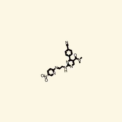 CN(C)C(=O)c1cnc(NCC=Nc2ccc([N+](=O)[O-])cn2)nc1-c1ccc(C#N)cc1